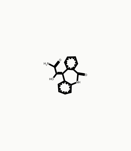 NC(=O)C(O)=C1c2ccccc2NC(=O)c2ccccc21